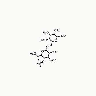 CC(=O)OCC1O[C@H](OCC2OC(OC(C)=O)[C@@H](OC(C)=O)C(OC(C)=O)[C@@H]2OC(C)=O)C(OC(C)=O)[C@@H](OC(C)=O)[C@H]1O[Si](C)(C)C